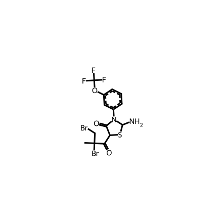 CC(Br)(CBr)C(=O)C1SC(N)N(c2cccc(OC(F)(F)F)c2)C1=O